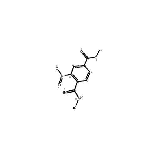 COC(=O)c1ccc(C(=N)NO)c([N+](=O)[O-])c1